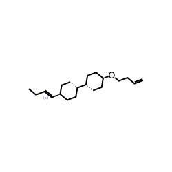 C=CCCO[C@H]1CC[C@H]([C@H]2CC[C@H](/C=C/CC)CC2)CC1